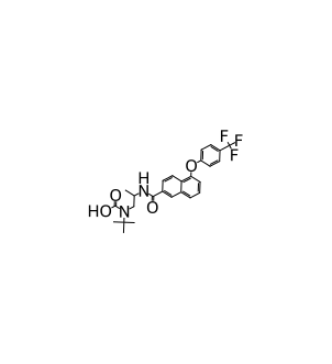 CC(CN(C(=O)O)C(C)(C)C)NC(=O)c1ccc2c(Oc3ccc(C(F)(F)F)cc3)cccc2c1